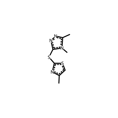 Cc1csc(Sc2nnc(C)n2C)n1